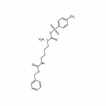 Cc1ccc(S(=O)(=O)OC(=O)[C@@H](N)CCCCNC(=O)OCc2ccccc2)cc1